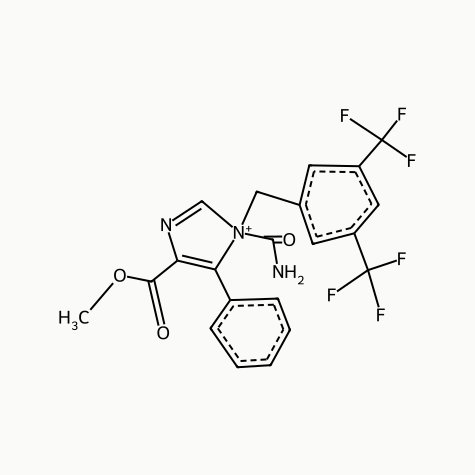 COC(=O)C1=C(c2ccccc2)[N+](Cc2cc(C(F)(F)F)cc(C(F)(F)F)c2)(C(N)=O)C=N1